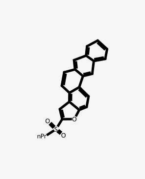 CCCS(=O)(=O)c1cc2c(ccc3c4cc5ccccc5cc4ccc23)o1